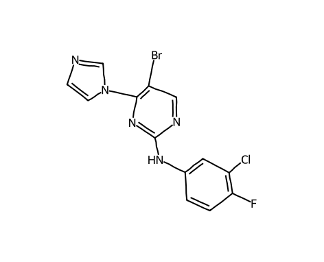 Fc1ccc(Nc2ncc(Br)c(-n3ccnc3)n2)cc1Cl